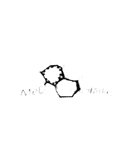 COc1cccc2c1CC[C@@H](NC(C)=O)C2